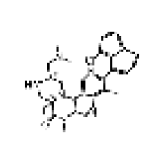 CN(C)C[C@H]1CN2c3c(cnc4c(F)c(-c5cccc6cccc(Cl)c56)ncc34)N(C)C(=O)[C@@H]2CN1